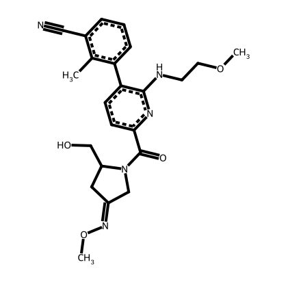 COCCNc1nc(C(=O)N2C/C(=N/OC)CC2CO)ccc1-c1cccc(C#N)c1C